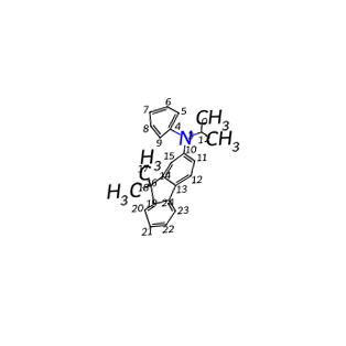 CC(C)N(c1ccccc1)c1ccc2c(c1)C(C)(C)c1ccccc1-2